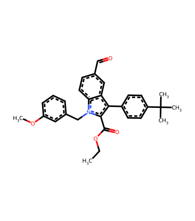 CCOC(=O)c1c(-c2ccc(C(C)(C)C)cc2)c2cc(C=O)ccc2n1Cc1cccc(OC)c1